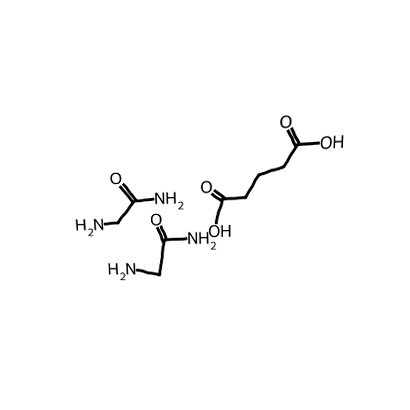 NCC(N)=O.NCC(N)=O.O=C(O)CCCC(=O)O